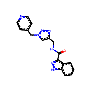 O=C(NCc1cn(Cc2ccncc2)nn1)c1n[nH]c2ccccc12